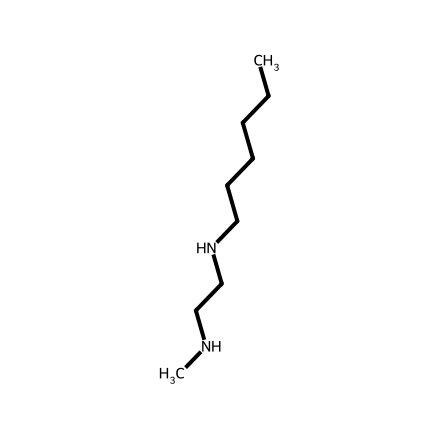 CCCCCCNCCNC